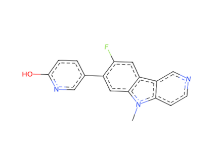 Cn1c2ccncc2c2cc(F)c(-c3ccc(O)nc3)cc21